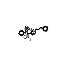 CC(C)(C)c1c(C(=O)Nc2ccccc2C(F)(F)F)ccn1CCCc1ccccc1